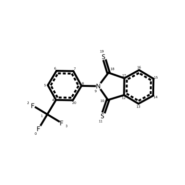 FC(F)(F)c1cccc(N2C(=S)c3ccccc3C2=S)c1